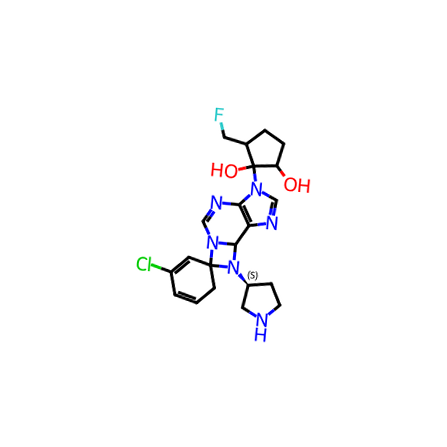 OC1CCC(CF)C1(O)n1cnc2c1N=CN1C2N([C@H]2CCNC2)C12C=C(Cl)C=CC2